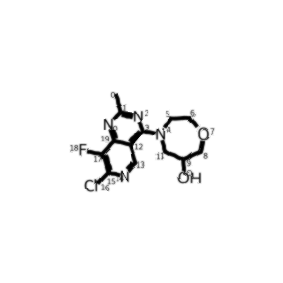 Cc1nc(N2CCOCC(O)C2)c2cnc(Cl)c(F)c2n1